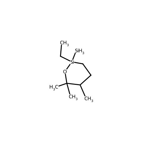 CC[Si]1([SiH3])CCC(C)C(C)(C)O1